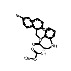 COc1ccc2cc(Br)ccc2c1CN1C(=O)[C@@H](NC(=O)OC(C)(C)C)CNc2ccccc21